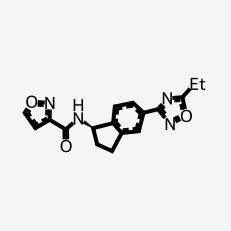 CCc1nc(-c2ccc3c(c2)CC[C@H]3NC(=O)c2ccon2)no1